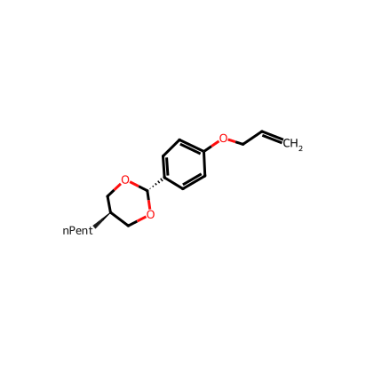 C=CCOc1ccc([C@H]2OC[C@H](CCCCC)CO2)cc1